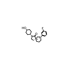 O=C1N([C@H]2CC[C@H](O)CC2)CC[C@]12CCCN(c1cccc(F)c1)C2